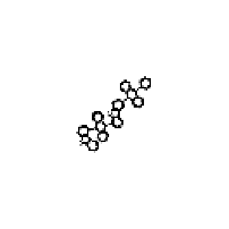 c1ccc(-c2c3ccccc3c(-c3ccc4oc5c(-c6c7ccccc7c(-c7cccc8sc9ccccc9c78)c7ccccc67)cccc5c4c3)c3ccccc23)cc1